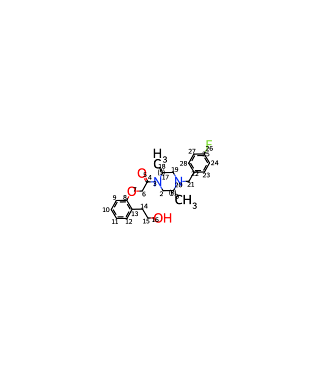 C[C@@H]1CN(C(=O)COc2ccccc2CCO)[C@@H](C)CN1Cc1ccc(F)cc1